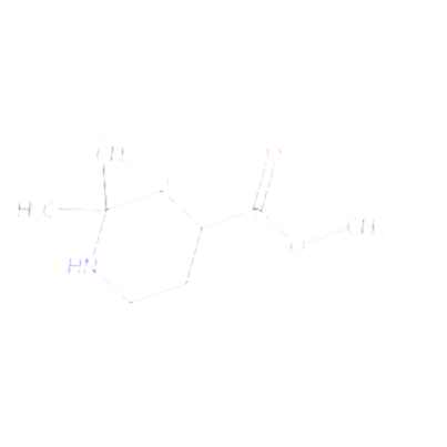 COC(=O)C1CCNC(C)(C)C1